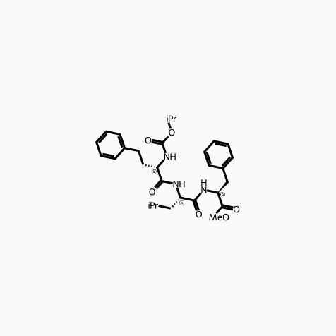 COC(=O)[C@H](Cc1ccccc1)NC(=O)[C@H](CC(C)C)NC(=O)[C@H](CCc1ccccc1)NC(=O)OC(C)C